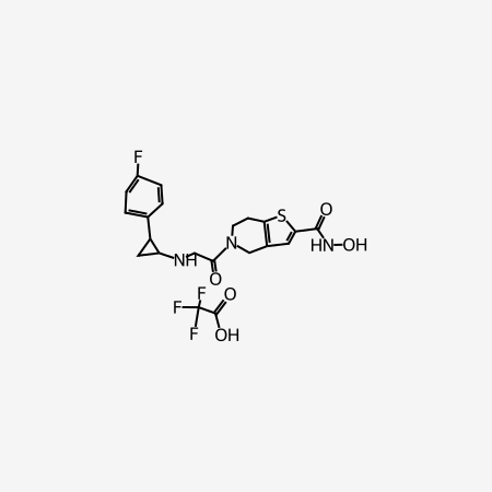 O=C(NO)c1cc2c(s1)CCN(C(=O)CNC1CC1c1ccc(F)cc1)C2.O=C(O)C(F)(F)F